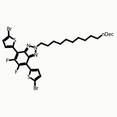 CCCCCCCCCCCCCCCCCCCCn1nc2c(-c3ccc(Br)s3)c(F)c(F)c(-c3ccc(Br)s3)c2n1